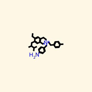 CCc1cc2c(cc1CC(C)C(C)C)C[N+](CCc1ccc(C)cc1)(Cc1ccc(N)cc1)CC2